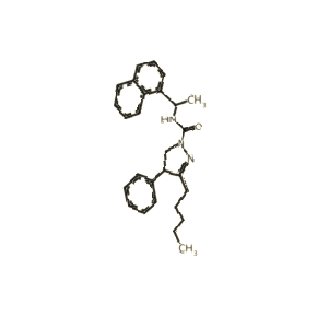 CCCCCC1=NN(C(=O)NC(C)c2cccc3ccccc23)CC1c1ccccc1